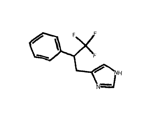 FC(F)(F)C(Cc1c[nH]cn1)c1ccccc1